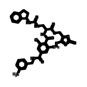 Cc1cccc(CNC(=O)c2cc(Cl)c(C(=O)NC(CNC(=O)NC3CCc4ccccc43)C(=O)OCc3oc(=O)oc3C)c(Cl)c2)c1